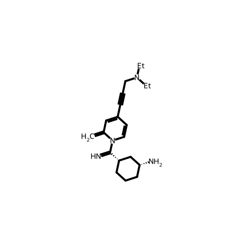 C=C1C=C(C#CCN(CC)CC)C=CN1C(=N)[C@H]1CCC[C@@H](N)C1